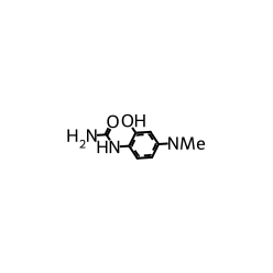 CNc1ccc(NC(N)=O)c(O)c1